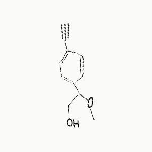 C#Cc1ccc(C(CO)OC)cc1